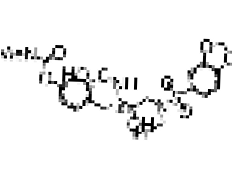 CNC(=O)Oc1ccc(C[C@H](NC(=O)O)[C@H](O)CN(CC(C)C)S(=O)(=O)c2ccc3c(c2)OCO3)cc1